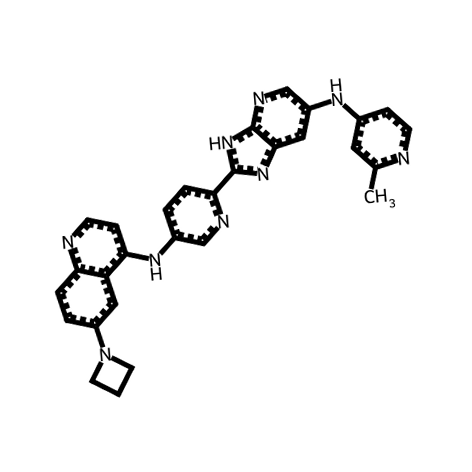 Cc1cc(Nc2cnc3[nH]c(-c4ccc(Nc5ccnc6ccc(N7CCC7)cc56)cn4)nc3c2)ccn1